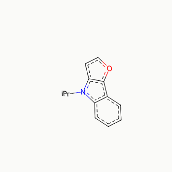 CC(C)n1c2ccccc2c2occc21